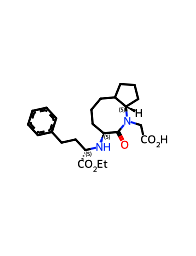 CCOC(=O)[C@H](CCc1ccccc1)N[C@H]1CCCC2CCC[C@@H]2N(CC(=O)O)C1=O